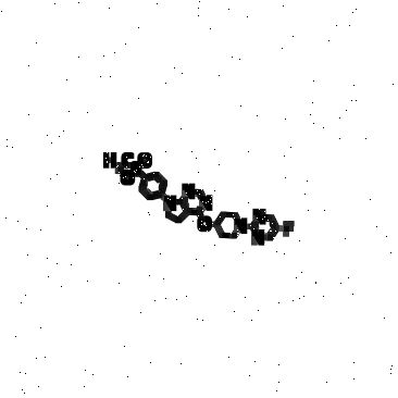 CS(=O)(=O)c1ccc(N2CCc3c(OC4CCN(c5ncc(F)cn5)CC4)ncnc32)cc1